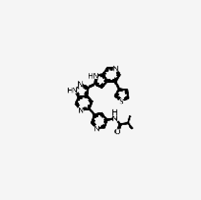 CC(C)C(=O)Nc1cncc(-c2cc3c(-c4cc5c(-c6ccsc6)cncc5[nH]4)n[nH]c3cn2)c1